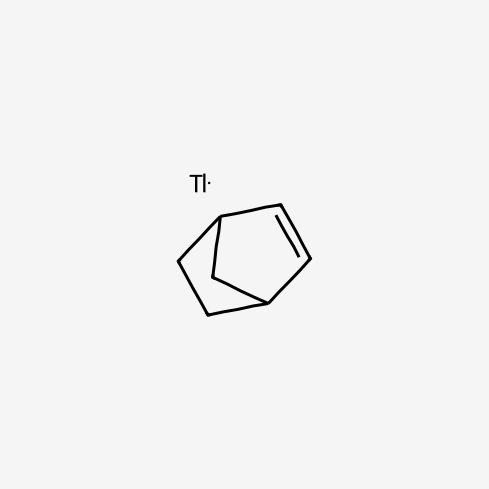 C1=CC2CCC1C2.[Tl]